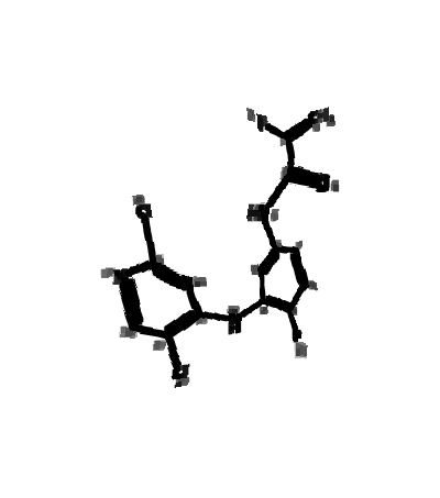 C=C(F)C(=O)Nc1ccc(F)c(Nc2nc(Cl)ncc2Cl)c1